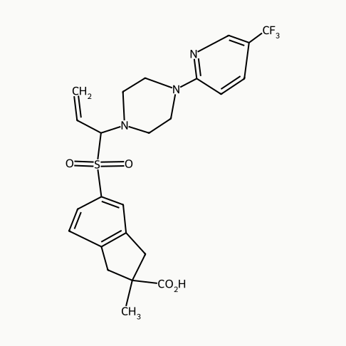 C=CC(N1CCN(c2ccc(C(F)(F)F)cn2)CC1)S(=O)(=O)c1ccc2c(c1)CC(C)(C(=O)O)C2